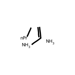 C=CC.CCCC.N.N